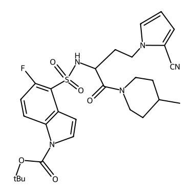 CC1CCN(C(=O)C(CCn2cccc2C#N)NS(=O)(=O)c2c(F)ccc3c2ccn3C(=O)OC(C)(C)C)CC1